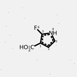 O=C(O)c1cc[nH]c1F